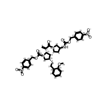 C=C(C(=O)N1CCC(NC(=O)OCc2ccc([N+](=O)[O-])cc2)C1)[C@@H]1C[C@H](SCc2ccccc2OC)CN1C(=O)OCc1ccc([N+](=O)[O-])cc1